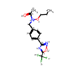 CCCON(Cc1ccc(-c2noc(C(F)(F)F)n2)cc1)C(C)=O